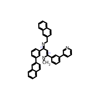 C=N/C(=C\C(=N/Cc1ccc2ccccc2c1)c1cccc(-c2ccc3ccccc3c2)c1)c1cccc(-c2cccnc2)c1